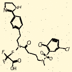 CN(CCc1ccc(C2=NCCN2)cc1)C(=O)CCCN(C)S(=O)(=O)c1cc(Cl)ccc1Cl.O=C(O)C(F)(F)F